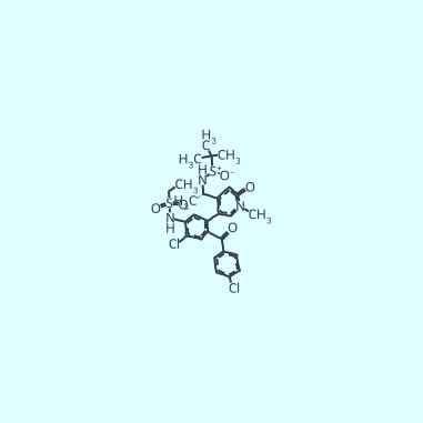 CCS(=O)(=O)Nc1cc(-c2cn(C)c(=O)cc2[C@H](C)N[S@@+]([O-])C(C)(C)C)c(C(=O)c2ccc(Cl)cc2)cc1Cl